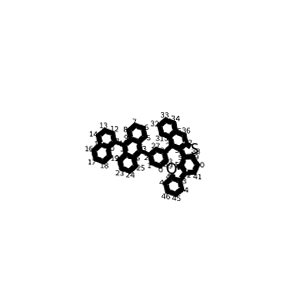 c1cc(-c2c3ccccc3c(-c3cccc4ccccc34)c3ccccc23)cc(-c2c3ccccc3cc3sc4ccc5c6ccccc6oc5c4c23)c1